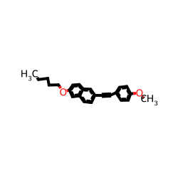 CCCCCOc1ccc2cc(C#Cc3ccc(OC)cc3)ccc2c1